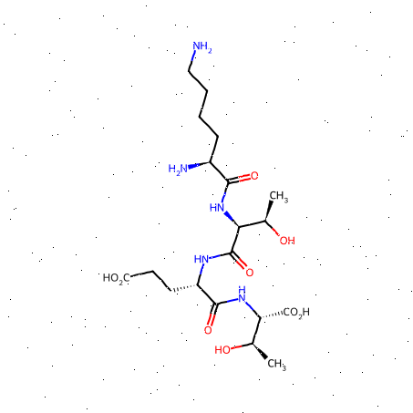 C[C@@H](O)[C@H](NC(=O)[C@H](CCC(=O)O)NC(=O)[C@@H](NC(=O)[C@@H](N)CCCCN)[C@@H](C)O)C(=O)O